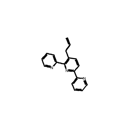 C=CCc1ccc(-c2ccccn2)nc1-c1ccccn1